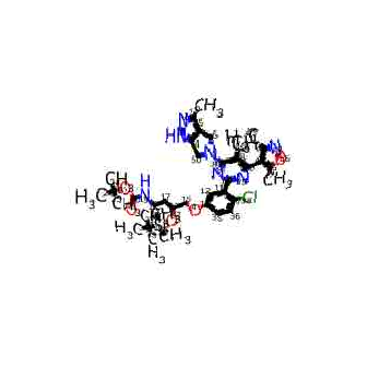 Cc1n[nH]c2c1CN(c1nc(-c3cc(OCC(CCNC(=O)OC(C)(C)C)O[Si](C)(C)C(C)(C)C)ccc3Cl)nc(-c3c(C)noc3C)c1C)C2